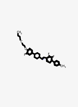 CCCCCCCOc1ccc(C2CCC(/C=C/c3ccc(-c4ccc(C)cc4)c(F)c3F)CC2)cc1F